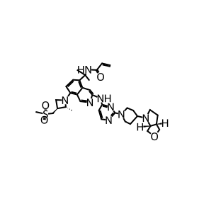 C=CC(=O)NC(C)(C)c1ccc(N2C[C@H](CS(C)(=O)=O)[C@H]2C)c2cnc(Nc3ccnc(N4CCC(N5CC[C@@H]6COC[C@@H]65)CC4)n3)cc12